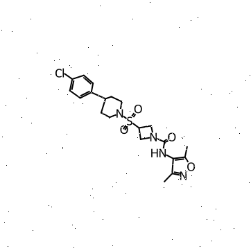 Cc1noc(C)c1NC(=O)N1CC(S(=O)(=O)N2CCC(c3ccc(Cl)cc3)CC2)C1